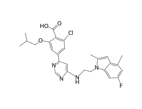 Cc1cc(F)cc2c1cc(C)n2CCNc1cc(-c2cc(Cl)c(C(=O)O)c(OCC(C)C)c2)ncn1